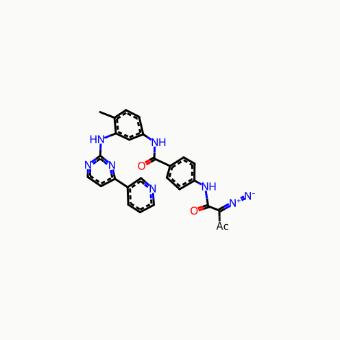 CC(=O)C(=[N+]=[N-])C(=O)Nc1ccc(C(=O)Nc2ccc(C)c(Nc3nccc(-c4cccnc4)n3)c2)cc1